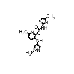 Cc1csc(NC(=O)Oc2nc(C)ccc2Nc2cnn(C)c2)n1